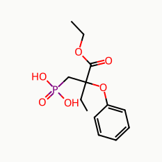 CCOC(=O)C(CC)(CP(=O)(O)O)Oc1ccccc1